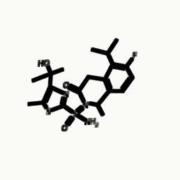 Cc1sc(S(N)(=O)=NC(=O)Cc2c(C(C)C)ccc(F)c2C(C)C)nc1C(C)(C)O